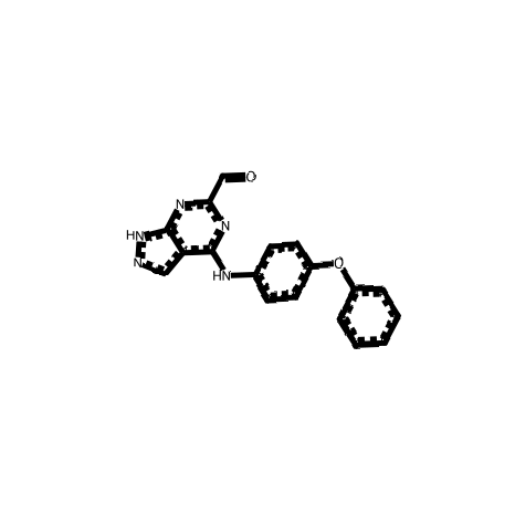 O=Cc1nc(Nc2ccc(Oc3ccccc3)cc2)c2cn[nH]c2n1